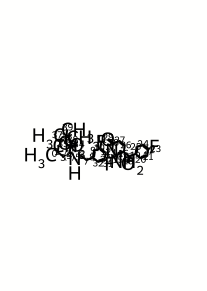 CC(C)C[C@H](NCCc1cc(F)c(-n2c(N)c(C(=O)c3ccc(F)cc3)ccc2=O)c(F)c1)C(=O)OC(C)(C)C